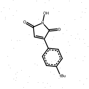 CC(C)(C)c1ccc(C2=CC(=O)N(O)C2=O)cc1